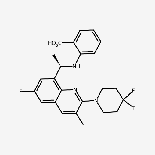 Cc1cc2cc(F)cc([C@@H](C)Nc3ccccc3C(=O)O)c2nc1N1CCC(F)(F)CC1